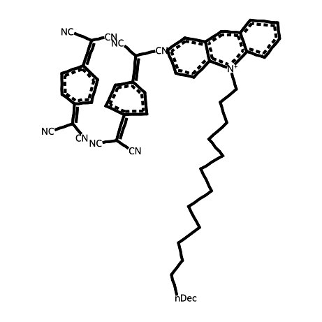 CCCCCCCCCCCCCCCCCCCCCC[n+]1c2ccccc2cc2ccccc21.N#CC(C#N)=c1ccc(=C(C#N)C#N)cc1.N#CC(C#N)=c1ccc(=C(C#N)C#N)cc1